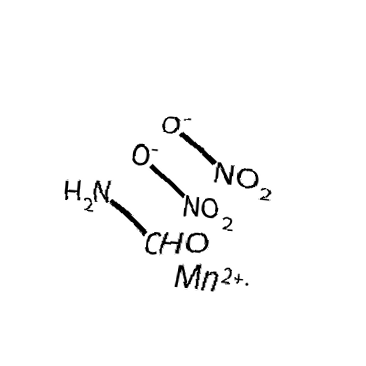 NC=O.O=[N+]([O-])[O-].O=[N+]([O-])[O-].[Mn+2]